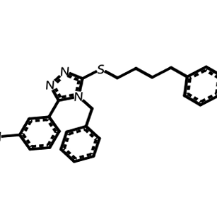 Clc1cccc(-c2nnc(SCCCCc3ccccc3)n2Cc2ccccc2)c1